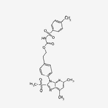 Cc1ccc(S(=O)(=O)NC(=O)OCCc2ccc(-n3c(S(C)(=O)=O)nc4c(C)cc(C)nc43)cc2)cc1